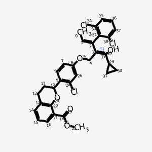 CC=C(/C(COc1ccc(C2CCc3cccc(C(=O)OC)c3O2)c(Cl)c1)=C(\O)C1CC1)c1c(Cl)cccc1Cl